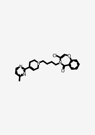 Cc1ccnc(C2=CCN(CCCCN3C(=O)c4ccccc4OC=C3Cl)CC2)n1